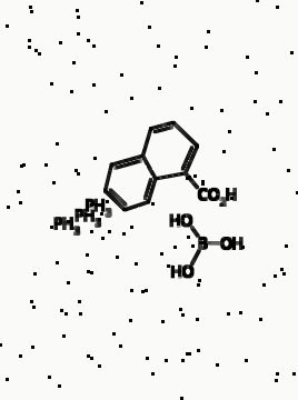 O=C(O)c1cccc2ccccc12.OB(O)O.P.P.P